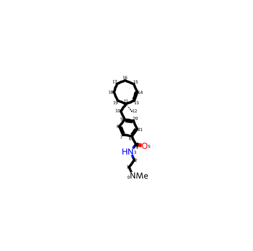 CNCCNC(=O)c1ccc(C[C@]2(C)/C=C\CCCCC2)cc1